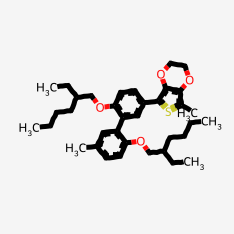 CCCCC(CC)COc1ccc(C)cc1-c1cc(-c2sc(C)c3c2OCCO3)ccc1OCC(CC)CCCC